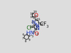 O=C(NCc1ccccc1)c1nn2c(C(F)(F)F)cc(-c3ccco3)nc2c1Cl